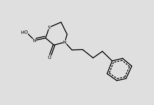 O=C1C(=NO)SCCN1CCCCc1ccccc1